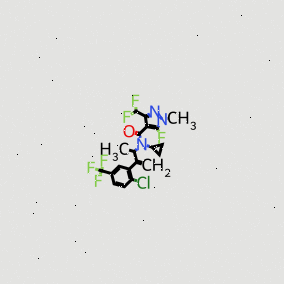 C=C(c1cc(C(F)(F)F)ccc1Cl)C(C)N(C(=O)c1c(C(F)F)nn(C)c1F)C1CC1